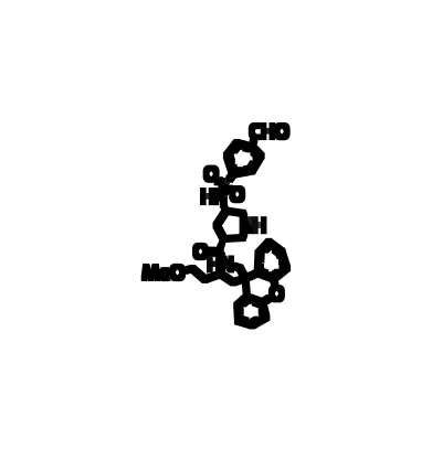 COCCCCC1(CNC(=O)[C@@H]2CNC[C@H](NS(=O)(=O)c3ccc(C=O)cc3)C2)c2ccccc2Oc2ccccc21